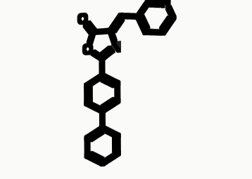 O=C1OC(c2ccc(-c3ccccc3)cc2)=NC1=Cc1cccnc1